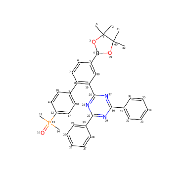 CC1(C)OB(c2ccc(-c3ccc(P(C)(C)=O)cc3)c(-c3nc(-c4ccccc4)nc(-c4ccccc4)n3)c2)OC1(C)C